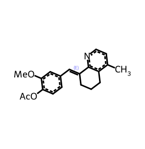 COc1cc(/C=C2\CCCc3c(C)ccnc32)ccc1OC(C)=O